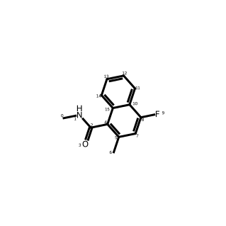 CNC(=O)c1c(C)cc(F)c2ccccc12